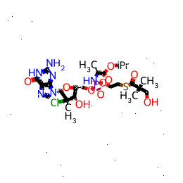 CC(C)OC(=O)[C@@H](C)NP(=O)(OCCSC(=O)C(C)(C)CO)OC[C@H]1O[C@@H](n2cnc3c(=O)[nH]c(N)nc32)[C@](C)(Cl)[C@@H]1O